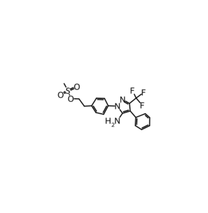 CS(=O)(=O)OCCc1ccc(-n2nc(C(F)(F)F)c(-c3ccccc3)c2N)cc1